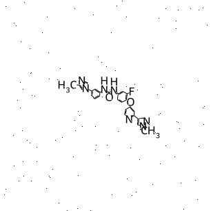 Cc1cn(-c2cccc(NC(=O)Nc3ccc(Oc4ccnc(-c5cnn(C)c5)c4)c(F)c3)c2)cn1